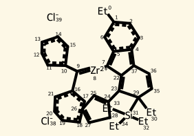 CCc1ccc2c(c1)=[C]([Zr+2]=[C](c1ccccc1)c1ccccc1)C1=C(C3=CC=CC3)C(CC)([Si](CC)(CC)CC)C=CC=21.[Cl-].[Cl-]